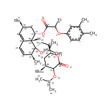 CCC(Oc1ccc(C)c(C)c1)C(=O)O[C@H]1C[C@H](C(C)(C)C)C=C2C=C[C@H](C)[C@](CC[C@@H]3C[C@H](C(C)(C)C)C(O[SiH](C)C)C(=O)O3)(O[SiH](C)C)[C@H]21